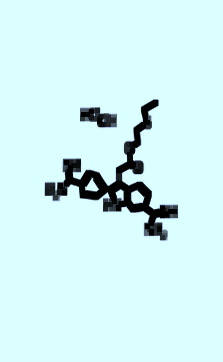 CCSCCOC(=O)Cc1c(-c2ccc(C(=N)N)cc2)[nH]c2cc(C(=N)N)ccc12.Cl.Cl